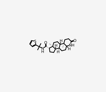 CC(C)(NC(=O)[C@H]1CC[C@H]2[C@@H]3CC[C@H]4NC(=O)CC[C@]4(C)[C@H]3CC[C@]12C)c1cccs1